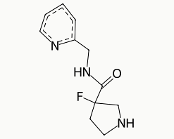 O=C(NCc1ccccn1)C1(F)CCNC1